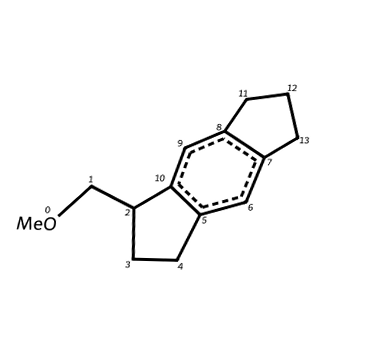 COCC1CCc2cc3c(cc21)CCC3